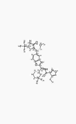 CCc1conc1C(=O)N[C@H](c1nc2cc([C@@H](COC)N3C[C@@H](C(F)(F)F)NC3=O)ccc2o1)[C@H]1CCCC(F)(F)C1